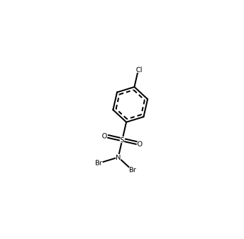 O=S(=O)(c1ccc(Cl)cc1)N(Br)Br